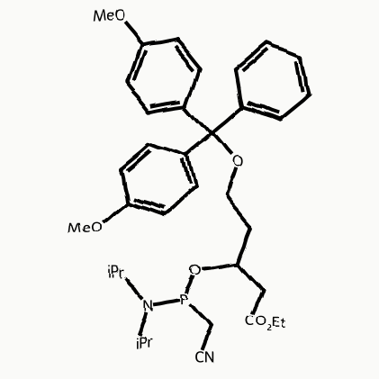 CCOC(=O)CC(CCOC(c1ccccc1)(c1ccc(OC)cc1)c1ccc(OC)cc1)OP(CC#N)N(C(C)C)C(C)C